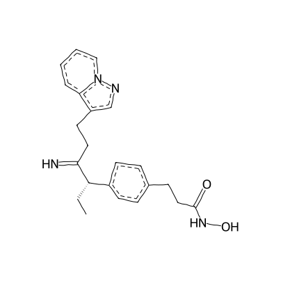 CC[C@H](C(=N)CCc1cnn2ccccc12)c1ccc(CCC(=O)NO)cc1